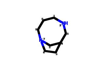 C1CNCC2CCN(C1)C2